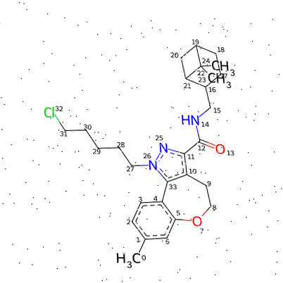 Cc1ccc2c(c1)OCCc1c(C(=O)NCC3CCC4CC3C4(C)C)nn(CCCCCCl)c1-2